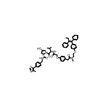 CC/C(=C(\c1ccccc1)c1ccc(OCCN(C)C(=O)Cc2ccc(OCC(=O)N[C@H](C(=O)N3C[C@H](O)C[C@H]3C(=O)NCc3ccc(-c4scnc4C)cc3)C(C)C)cc2)cc1)c1ccccc1